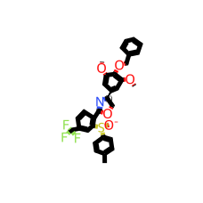 COc1cc([C@H]2COC(c3ccc(C(F)(F)F)cc3[S+]([O-])c3ccc(C)cc3)=N2)cc(OC)c1OCc1ccccc1